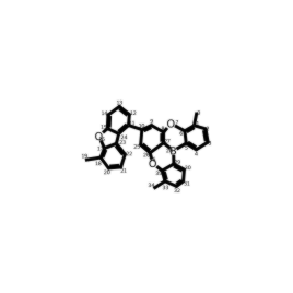 Cc1cccc2c1Oc1cc(-c3cccc4oc5c(C)cccc5c34)cc3c1B2c1cccc(C)c1O3